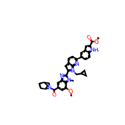 COC(=O)c1cc2cc(-c3ccc4cc(-c5nc6cc(C(=O)N7CC8CCC7C8)cc(OC)c6n5C)n(CC5CC5)c4n3)ccc2[nH]1